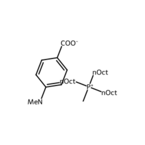 CCCCCCCC[P+](C)(CCCCCCCC)CCCCCCCC.CNc1ccc(C(=O)[O-])cc1